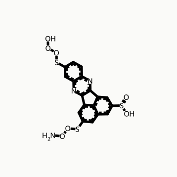 NOOSc1cc2c3c(cc(S(=O)O)cc3c1)-c1nc3ccc(SOOO)cc3nc1-2